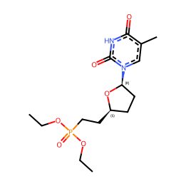 CCOP(=O)(CC[C@@H]1CC[C@H](n2cc(C)c(=O)[nH]c2=O)O1)OCC